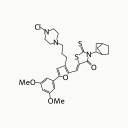 COc1cc(OC)cc(-c2cc(CCCN3CCN(Cl)CC3)c(/C=C3\SC(=S)N(C4CC5CCC4C5)C3=O)o2)c1